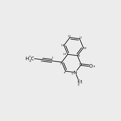 CC#Cc1cn(CC)c(=O)c2ccccc12